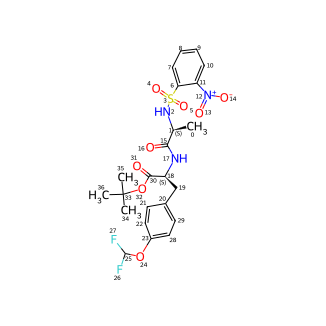 C[C@H](NS(=O)(=O)c1ccccc1[N+](=O)[O-])C(=O)N[C@@H](Cc1ccc(OC(F)F)cc1)C(=O)OC(C)(C)C